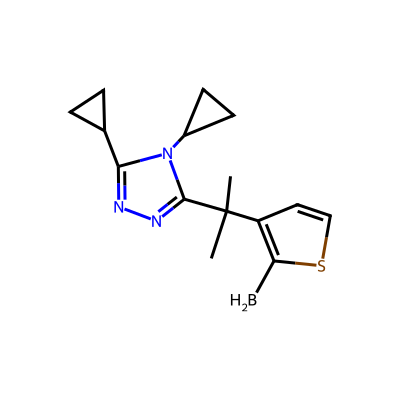 Bc1sccc1C(C)(C)c1nnc(C2CC2)n1C1CC1